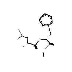 COC(=O)[C@H](Cc1ccccc1)NC(=O)[C@@H](C)CC(C)C